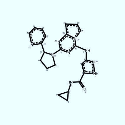 O=C(NC1CC1)c1cc(Nc2nc(N3CCCC3c3ccccn3)nc3cccn23)n[nH]1